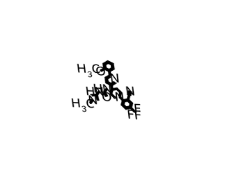 COc1ccccc1-c1ccc(C2(NC(=O)NC3CN(C)C3)CCN(c3ccc(C(F)(F)F)cc3C#N)CC2)cn1